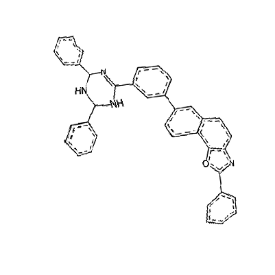 c1ccc(-c2nc3ccc4cc(-c5cccc(C6=NC(c7ccccc7)NC(c7ccccc7)N6)c5)ccc4c3o2)cc1